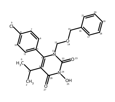 CC(C)c1c(-c2ccc(Cl)cc2)n(COCc2ccccc2)c(=O)n(O)c1=O